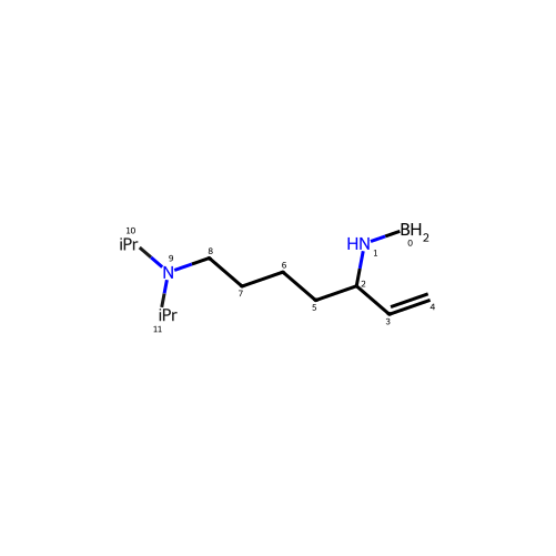 BNC(C=C)CCCCN(C(C)C)C(C)C